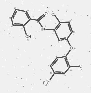 O=C(Nc1cc(Oc2ccc(C(F)(F)F)cc2Cl)ccc1Cl)c1ccccc1O